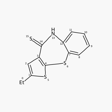 CCc1cc2c(s1)Sc1ccccc1NC2=S